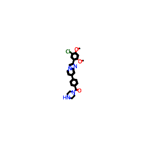 COc1cc(OC)c(-c2cn3ccc(-c4ccc(C(=O)N5CCNCC5)cc4)cc3n2)cc1Cl